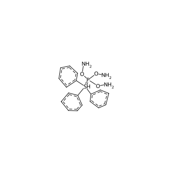 NOP(ON)(ON)=[SH](c1ccccc1)(c1ccccc1)c1ccccc1